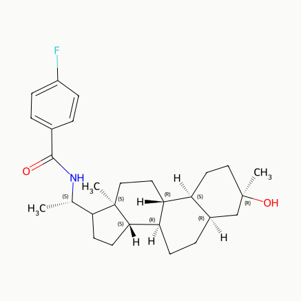 C[C@H](NC(=O)c1ccc(F)cc1)C1CC[C@H]2[C@@H]3CC[C@@H]4C[C@](C)(O)CC[C@@H]4[C@H]3CC[C@]12C